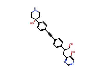 OCC(Cc1ncncc1O)c1ccc(C#Cc2ccc(C3(O)CCNCC3)cc2)cc1